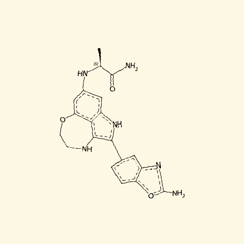 C[C@H](Nc1cc2c3c(c(-c4ccc5oc(N)nc5c4)[nH]c3c1)NCCO2)C(N)=O